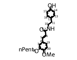 CCCCCOc1cc(/C=C/C(=O)NCCc2ccc(O)cc2)ccc1OC